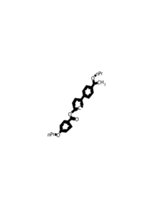 CCCOc1ccc(C(=O)Oc2ccc(-c3ccc(C(C)OCCC)cc3)cc2)cc1